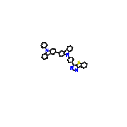 c1ccc(-n2c3ccccc3c3cc(-c4ccc5c(c4)c4ccccc4n5-c4ccc(-c5ncnc6c5sc5ccccc56)cc4)ccc32)cc1